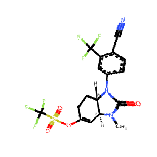 CN1C(=O)N(c2ccc(C#N)c(C(F)(F)F)c2)[C@H]2CCC(OS(=O)(=O)C(F)(F)F)=C[C@@H]21